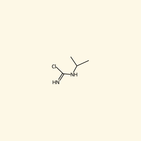 CC(C)NC(=N)Cl